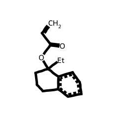 C=CC(=O)OC1(CC)CCCc2ccccc21